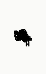 CO[C@@H]1CC[C@H](O)c2c1oc1c3c4c(c(O)c1c2=O)-c1c(cc2cc(C)[nH]c(=O)c2c1O)C[C@H]4OCO3